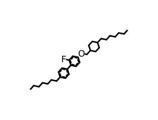 CCCCCCCc1ccc(-c2ccc(OCC3CCC(CCCCCCC)CC3)cc2F)cc1